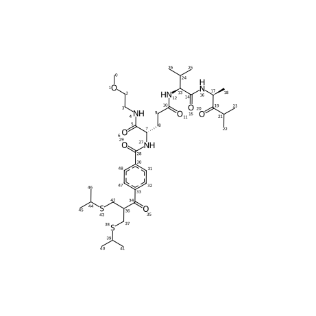 COCCNC(=O)[C@H](CCC(=O)N[C@H](C(=O)N[C@@H](C)C(=O)C(C)C)C(C)C)NC(=O)c1ccc(C(=O)C(CSC(C)C)CSC(C)C)cc1